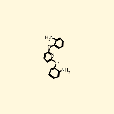 Nc1ccccc1Oc1cccc(Oc2ccccc2N)n1